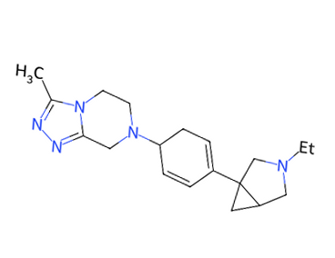 CCN1CC2CC2(C2=CCC(N3CCn4c(C)nnc4C3)C=C2)C1